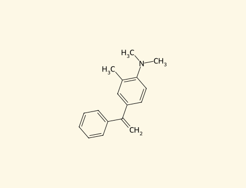 C=C(c1ccccc1)c1ccc(N(C)C)c(C)c1